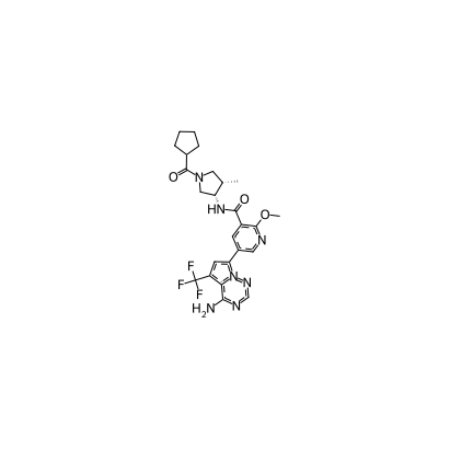 COc1ncc(-c2cc(C(F)(F)F)c3c(N)ncnn23)cc1C(=O)N[C@@H]1CN(C(=O)C2CCCC2)C[C@@H]1C